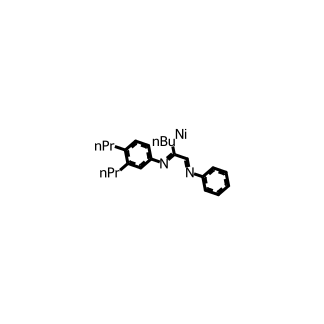 CCCCC(C=Nc1ccccc1)=Nc1ccc(CCC)c(CCC)c1.[Ni]